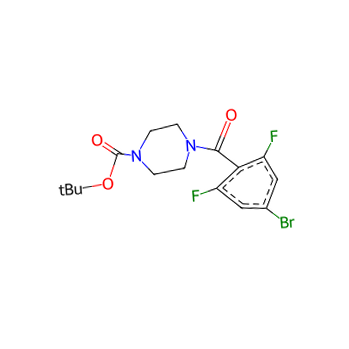 CC(C)(C)OC(=O)N1CCN(C(=O)c2c(F)cc(Br)cc2F)CC1